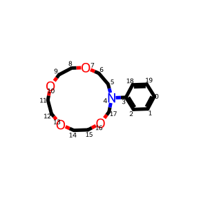 c1ccc(N2CCOCCOCCOCCOC2)cc1